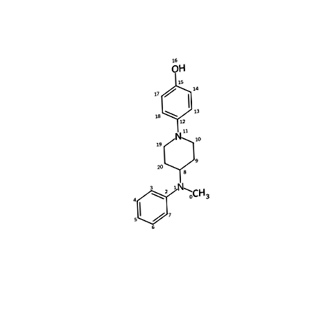 CN(c1ccccc1)C1CCN(c2ccc(O)cc2)CC1